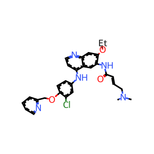 CCOc1cc2nccc(Nc3ccc(OCc4ccccn4)c(Cl)c3)c2cc1NC(=O)/C=C/CN(C)C